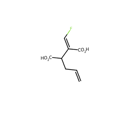 C=CCC(C(=O)O)C(=CF)C(=O)O